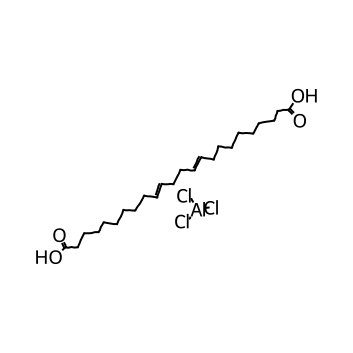 O=C(O)CCCCCCCCC=CCCC=CCCCCCCCCC(=O)O.[Cl][Al]([Cl])[Cl]